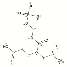 CC(C)CN(CCC(=O)O)C(=O)OCOP(=O)(O)O